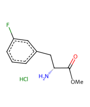 COC(=O)[C@H](N)Cc1cccc(F)c1.Cl